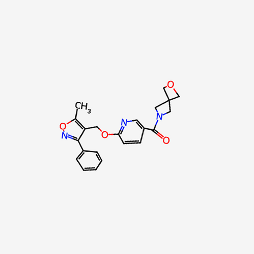 Cc1onc(-c2ccccc2)c1COc1ccc(C(=O)N2CC3(COC3)C2)cn1